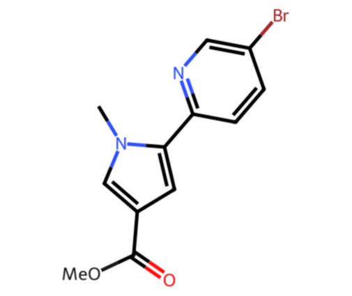 COC(=O)c1cc(-c2ccc(Br)cn2)n(C)c1